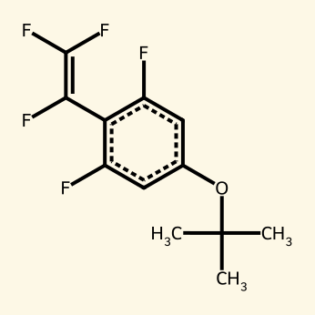 CC(C)(C)Oc1cc(F)c(C(F)=C(F)F)c(F)c1